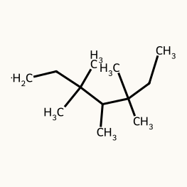 [CH2]CC(C)(C)C(C)C(C)(C)CC